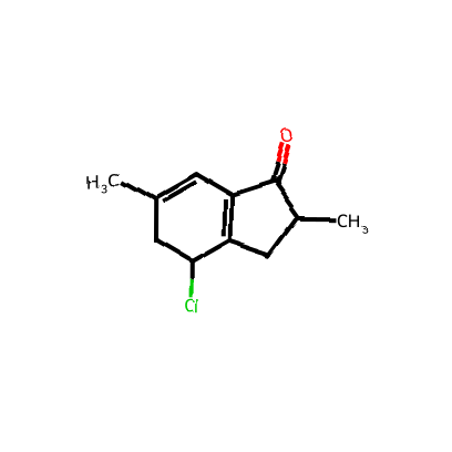 CC1=CC2=C(CC(C)C2=O)C(Cl)C1